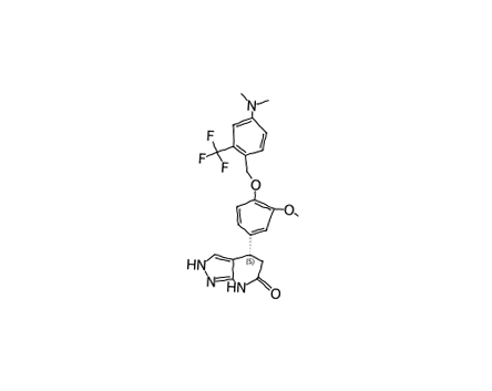 COc1cc([C@@H]2CC(=O)Nc3n[nH]cc32)ccc1OCc1ccc(N(C)C)cc1C(F)(F)F